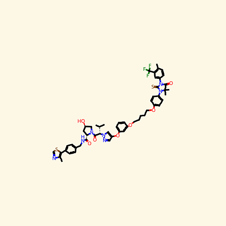 Cc1ccc(N2C(=O)C(C)(C)N(c3ccc(OCCCCCOc4cccc(Oc5cnn([C@H](C(=O)N6C[C@H](O)C[C@H]6C(=O)NCc6ccc(-c7scnc7C)cc6)C(C)C)c5)c4)cc3)C2=S)cc1C(F)(F)F